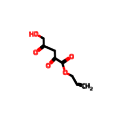 C=CCOC(=O)C(=O)CC(=O)CO